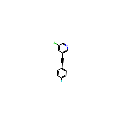 Fc1ccc(C#Cc2cncc(Cl)c2)cc1